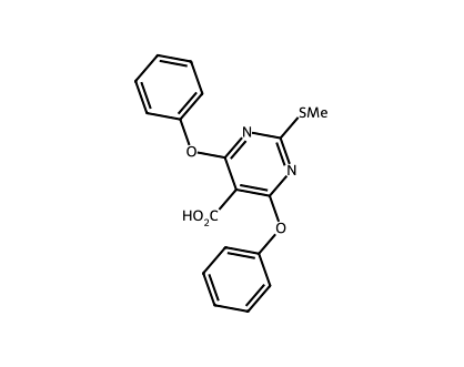 CSc1nc(Oc2ccccc2)c(C(=O)O)c(Oc2ccccc2)n1